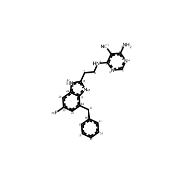 N#Cc1c(N)ncnc1NCCc1nc2c(Cc3ccccc3)cc(F)cc2[nH]1